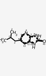 CC(C)Cc1cnc2[nH]c(=O)[nH]c2c1